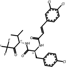 CC(C)[C@H](NC(=O)[C@H](Cc1ccc(Cl)cc1)NC(=O)C=Cc1ccc(Cl)c(Cl)c1)C(=O)C(F)(F)F